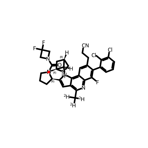 [2H]C([2H])([2H])c1nc2c(F)c(-c3cccc(Cl)c3Cl)c(CCC#N)cc2c2c1cc([C@H]1CCCN1C(=O)N1CC(F)(F)C1)n2[C@H]1[C@H]2CN[C@@H]1C2